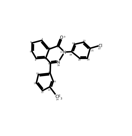 O=c1c2ccccc2c(-c2cccc(C(F)(F)F)c2)nn1-c1ccc(Cl)cc1